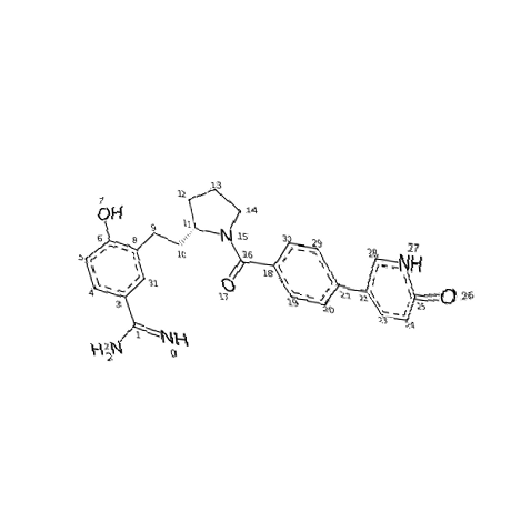 N=C(N)c1ccc(O)c(CC[C@@H]2CCCN2C(=O)c2ccc(-c3ccc(=O)[nH]c3)cc2)c1